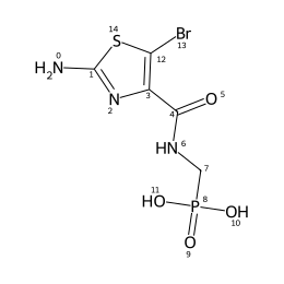 Nc1nc(C(=O)NCP(=O)(O)O)c(Br)s1